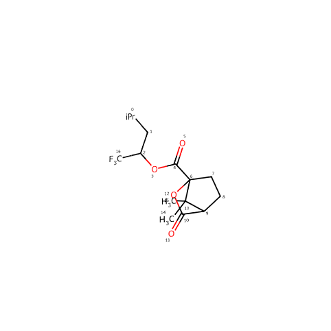 CC(C)CC(OC(=O)C12CCC(C(=O)O1)C2(C)C)C(F)(F)F